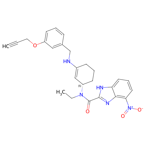 C#CCOc1cccc(CNC2=C[C@@H](N(CC)C(=O)c3nc4c([N+](=O)[O-])cccc4[nH]3)CCC2)c1